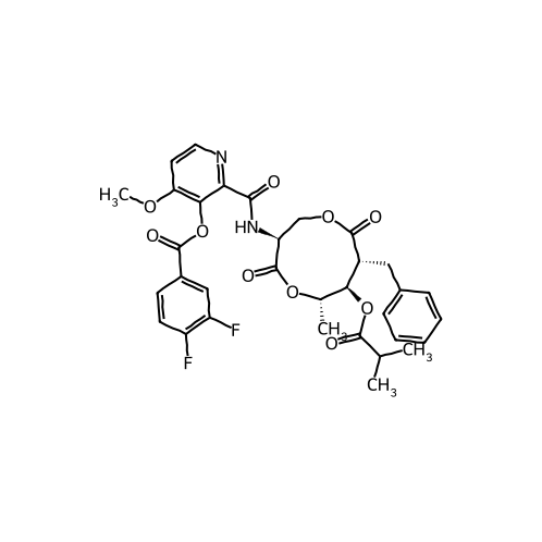 COc1ccnc(C(=O)N[C@H]2COC(=O)[C@H](Cc3ccccc3)[C@@H](OC(=O)C(C)C)[C@H](C)OC2=O)c1OC(=O)c1ccc(F)c(F)c1